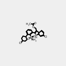 CC(=O)OCc1c(-c2cccc(C3CCC(Cl)CC3)c2S(N)(=O)=O)[nH]c2cc(Cl)ccc12